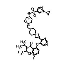 CC(C)N(C(=O)c1cc(F)ccc1Oc1cncnc1N1CC2(CCN(C[C@@H]3CC[C@@H](NS(=O)(=O)c4cnn(C5CC5)c4)CO3)CC2)C1)C(C)C